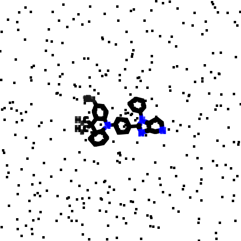 CC(C)(C)c1ccc2c(c1)C(C)(C)c1ccccc1N2c1ccc(-c2nc3cnccc3n2-c2ccccc2)cc1